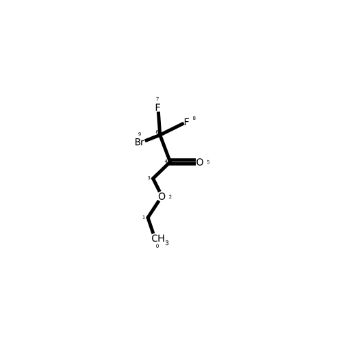 CCOCC(=O)C(F)(F)Br